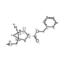 O=C(OCc1ccccc1)[C@@H]1C[C@]2(CO)C[C@@H]2N1